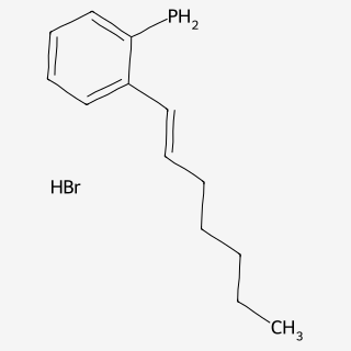 Br.CCCCCC=Cc1ccccc1P